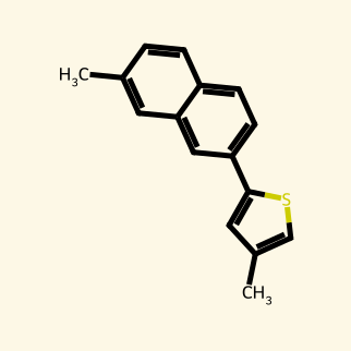 Cc1csc(-c2ccc3ccc(C)cc3c2)c1